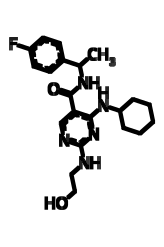 CC(NC(=O)c1cnc(NCCO)nc1NC1CCCCC1)c1ccc(F)cc1